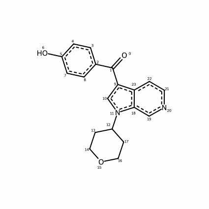 O=C(c1ccc(O)cc1)c1cn(C2CCOCC2)c2cnccc12